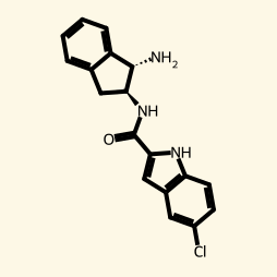 N[C@H]1c2ccccc2C[C@@H]1NC(=O)c1cc2cc(Cl)ccc2[nH]1